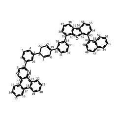 C1=CC(c2cccc(-c3cnc4c5ccccc5c5ccccc5c4n3)c2)CC=C1c1cccc(-c2cccc3c2sc2c(-c4cccc5ccccc45)cccc23)c1